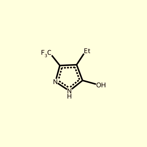 CCc1c(C(F)(F)F)n[nH]c1O